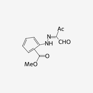 COC(=O)c1ccccc1N/N=C(\C=O)C(C)=O